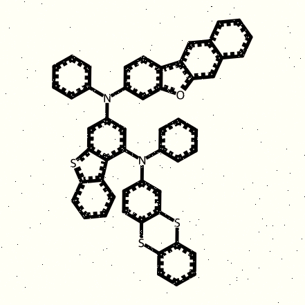 c1ccc(N(c2ccc3c(c2)oc2cc4ccccc4cc23)c2cc(N(c3ccccc3)c3ccc4c(c3)Sc3ccccc3S4)c3c(c2)sc2ccccc23)cc1